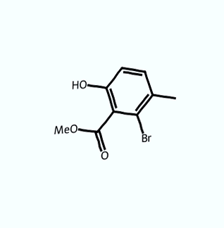 COC(=O)c1c(O)ccc(C)c1Br